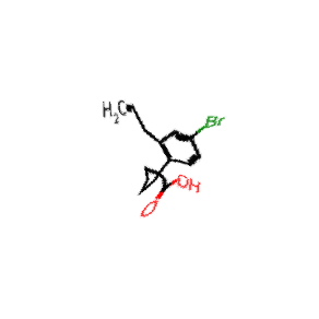 C=CCc1cc(Br)ccc1C1(C(=O)O)CC1